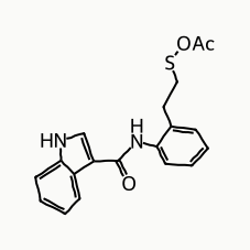 CC(=O)OSCCc1ccccc1NC(=O)c1c[nH]c2ccccc12